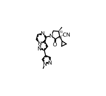 C[C@@H]1CN(c2nccn3nc(-c4cnn(C)c4)cc23)C(=O)[C@]1(C#N)C1CC1